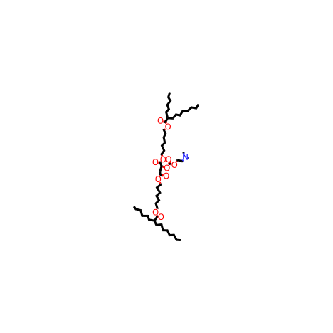 CCCCCCCCC(CCCCCC)C(=O)OCCCCCCCOC(=O)CC(OC(=O)OCCN(C)C)C(=O)OCCCCCCCOC(=O)C(CCCCCC)CCCCCCCC